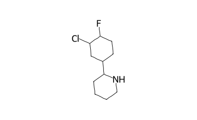 FC1CCC(C2CCCCN2)CC1Cl